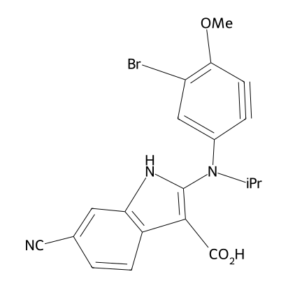 COc1c#cc(N(c2[nH]c3cc(C#N)ccc3c2C(=O)O)C(C)C)cc1Br